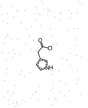 O=C(Cl)Cc1cc[nH]c1